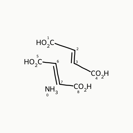 N.O=C(O)C=CC(=O)O.O=C(O)C=CC(=O)O